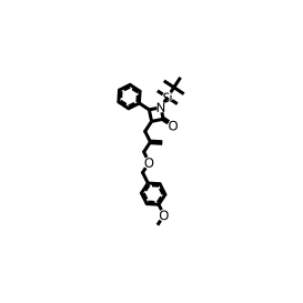 C=C(COCc1ccc(OC)cc1)CC1C(=O)N([Si](C)(C)C(C)(C)C)C1c1ccccc1